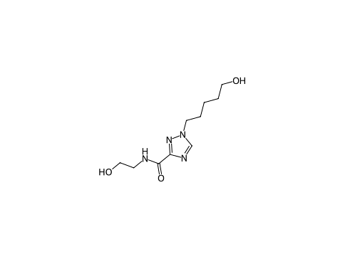 O=C(NCCO)c1ncn(CCCCCO)n1